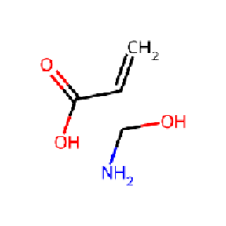 C=CC(=O)O.NCO